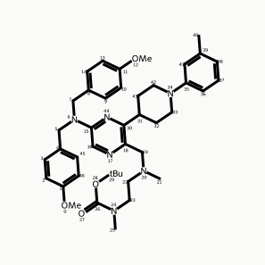 COc1ccc(CN(Cc2ccc(OC)cc2)c2cnc(CN(C)CCN(C)C(=O)OC(C)(C)C)c(C3CCN(c4cccc(C)c4)CC3)n2)cc1